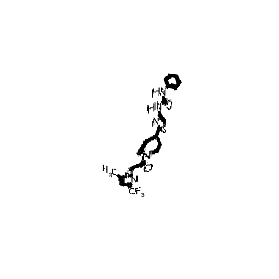 Cc1cc(C(F)(F)F)nn1CC(=O)N1CCC(c2nc(NC(=O)Nc3ccccc3)cs2)CC1